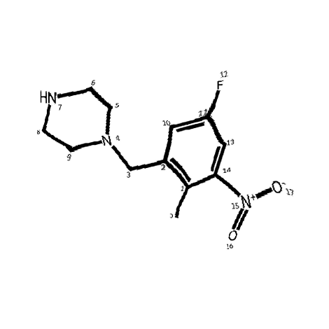 Cc1c(CN2CCNCC2)cc(F)cc1[N+](=O)[O-]